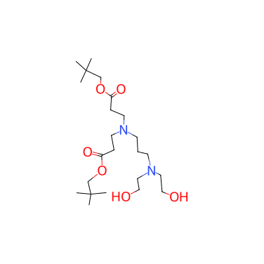 CC(C)(C)COC(=O)CCN(CCCN(CCO)CCO)CCC(=O)OCC(C)(C)C